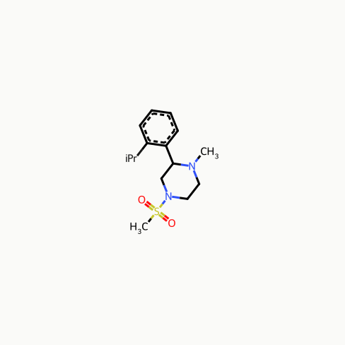 CC(C)c1ccccc1C1CN(S(C)(=O)=O)CCN1C